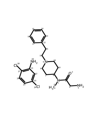 CN(C(=O)CN)C1CCN(CCc2ccccc2)CC1.Nc1cc(Cl)ccc1Cl